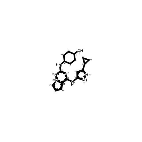 OC1CCC(Nc2nc(Nc3cc(C4CC4)n[nH]3)c3cccn3n2)CC1